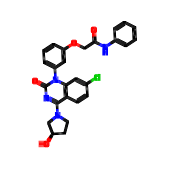 O=C(COc1cccc(-n2c(=O)nc(N3CC[C@@H](O)C3)c3ccc(Cl)cc32)c1)Nc1ccccc1